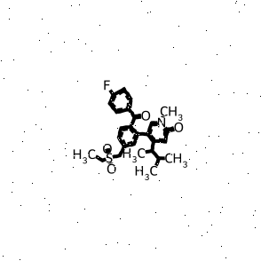 CCS(=O)(=O)Cc1ccc(C(=O)c2ccc(F)cc2)c(-c2cn(C)c(=O)cc2C(C)[C](C)C)c1